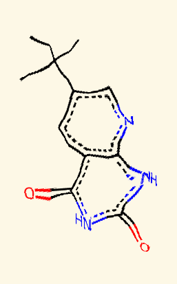 CC(C)(C)c1cnc2[nH]c(=O)[nH]c(=O)c2c1